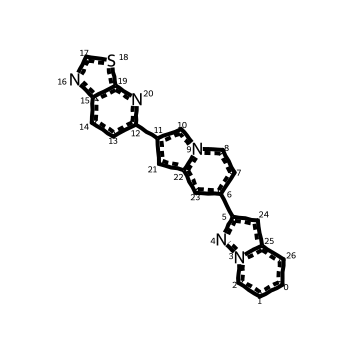 c1ccn2nc(-c3ccn4cc(-c5ccc6ncsc6n5)cc4c3)cc2c1